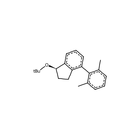 Cc1cccc(C)c1-c1cccc2c1CC[C@H]2OC(C)(C)C